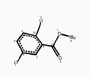 CC(C)(C)OC(=O)c1cc(Cl)ccc1Cl